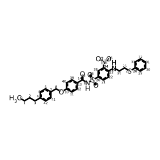 CCCCc1ccc(COc2ccc(C(=O)NS(=O)(=O)c3ccc(NCCSc4ccccc4)c([N+](=O)[O-])c3)cc2)cc1